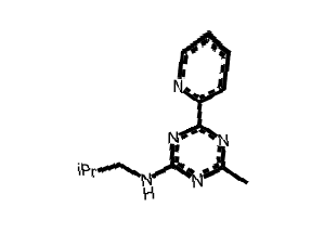 Cc1nc(NCC(C)C)nc(-c2ccccn2)n1